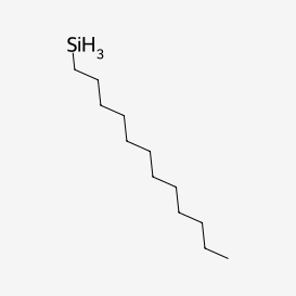 CCCCCCCCCCCC[SiH3]